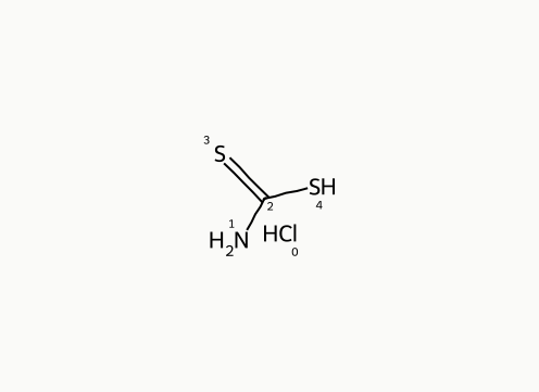 Cl.NC(=S)S